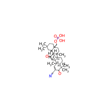 CC1(C)CC[C@]2(COP(=O)(O)O)CC[C@]3(C)[C@H](C(=O)C=C4[C@@]5(C)C=C(C#N)C(=O)C(C)(C)[C@@H]5CC[C@]43C)[C@@H]2C1